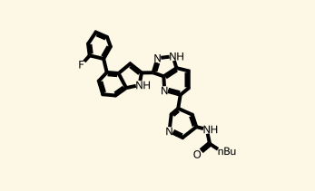 CCCCC(=O)Nc1cncc(-c2ccc3[nH]nc(-c4cc5c(-c6ccccc6F)cccc5[nH]4)c3n2)c1